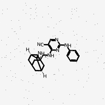 N#Cc1cnc(Nc2ccccc2)nc1NC[C@]12CC3C[C@H](C1)[C@@H](N)[C@@H](C3)C2